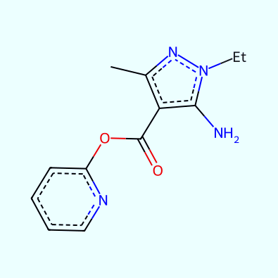 CCn1nc(C)c(C(=O)Oc2ccccn2)c1N